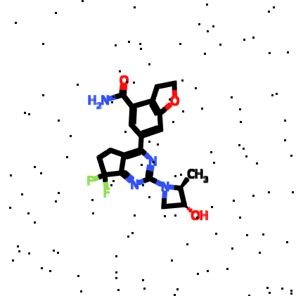 C[C@H]1[C@H](O)CN1c1nc(-c2cc3c(c(C(N)=O)c2)CCO3)c2c(n1)C(F)(F)CC2